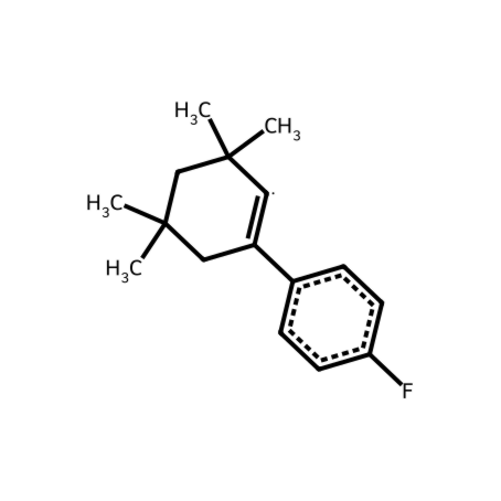 CC1(C)[C]=C(c2ccc(F)cc2)CC(C)(C)C1